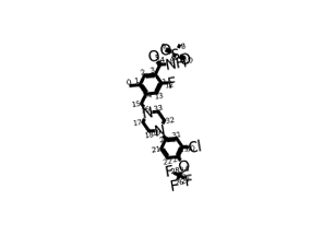 Cc1cc(C(=O)NS(C)(=O)=O)c(F)cc1CN1CCN(c2ccc(OC(F)(F)F)c(Cl)c2)CC1